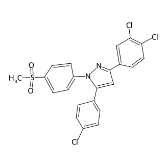 CS(=O)(=O)c1ccc(-n2nc(-c3ccc(Cl)c(Cl)c3)cc2-c2ccc(Cl)cc2)cc1